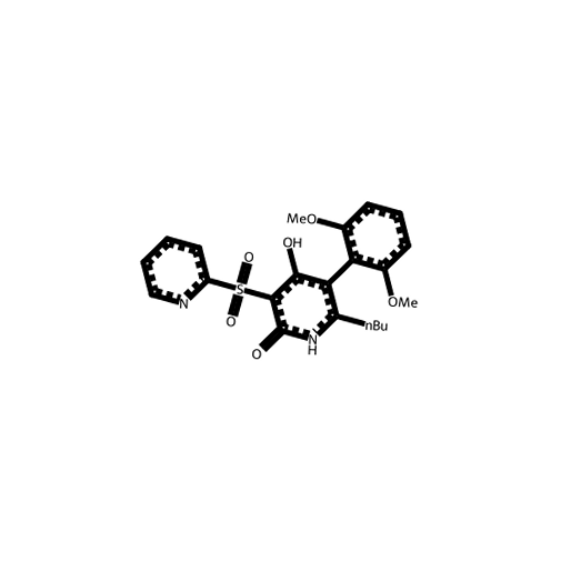 CCCCc1[nH]c(=O)c(S(=O)(=O)c2ccccn2)c(O)c1-c1c(OC)cccc1OC